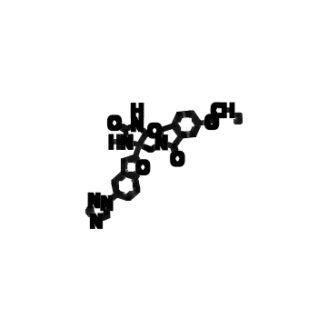 COc1ccc2c(c1)C(=O)N(C[C@@]1(c3cc4cc(-n5cncn5)ccc4o3)NC(=O)NC1=O)C2